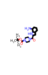 CC(C)(C)OC(=O)N1CCN(C(=O)c2cc3cccc(N)c3[nH]2)CC1